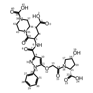 O=C(O)CCC(NC(=O)c1cc(OCC(=O)N2C[C@H](O)C[C@@H]2C(=O)O)n(-c2ccccc2)n1)C(=O)N1CCN(C(=O)O)CC1